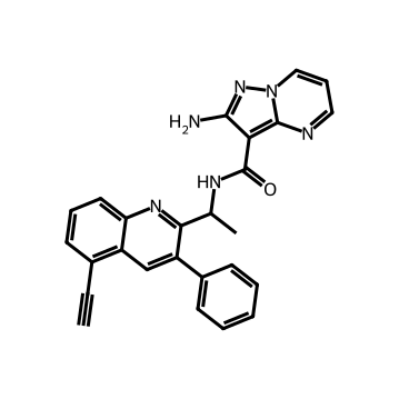 C#Cc1cccc2nc(C(C)NC(=O)c3c(N)nn4cccnc34)c(-c3ccccc3)cc12